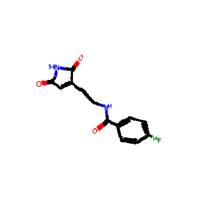 O=C1C=C(CCNC(=O)c2ccc([18F])cc2)C(=O)N1